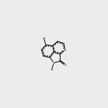 O=C1c2nccc3c(Br)ccc(c23)N1Br